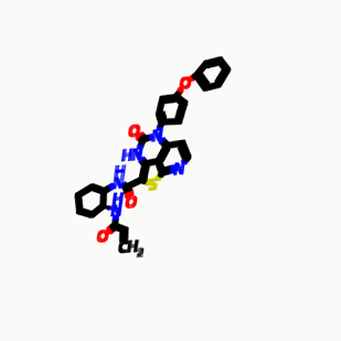 C=CC(=O)N[C@@H]1CCCCC1NC(=O)c1sc2nccc3c2c1NC(=O)N3c1ccc(Oc2ccccc2)cc1